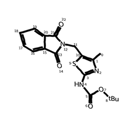 Cc1nc(NC(=O)OC(C)(C)C)sc1CN1C(=O)c2ccccc2C1=O